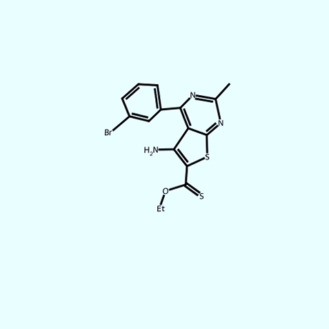 CCOC(=S)c1sc2nc(C)nc(-c3cccc(Br)c3)c2c1N